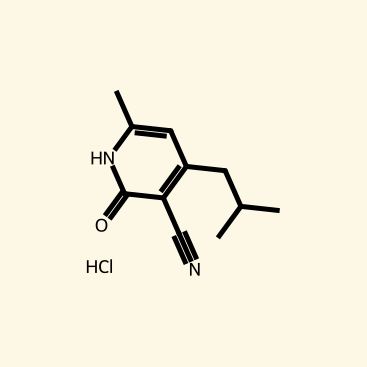 Cc1cc(CC(C)C)c(C#N)c(=O)[nH]1.Cl